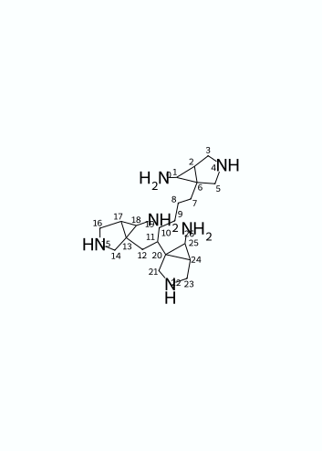 NC1C2CNCC12CCCCC(CC12CNCC1C2N)C12CNCC1C2N